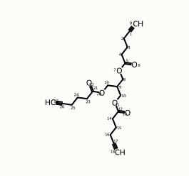 C#CCCCC(=O)OCC(COC(=O)CCCC#C)COC(=O)CCCC#C